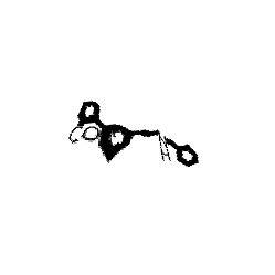 O=C(O)c1ccccc1-c1cccc(C#CCNCc2ccccc2)c1